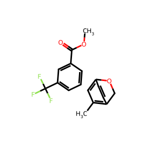 COC(=O)c1cccc(C(F)(F)F)c1.Cc1cc2ccc1CO2